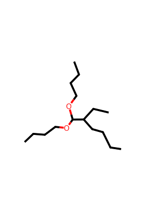 CCCCOC(OCCCC)C(CC)CCCC